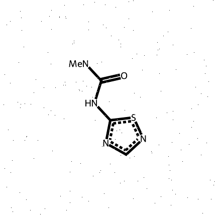 CNC(=O)Nc1ncns1